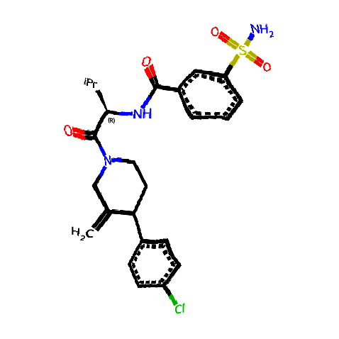 C=C1CN(C(=O)[C@H](NC(=O)c2cccc(S(N)(=O)=O)c2)C(C)C)CCC1c1ccc(Cl)cc1